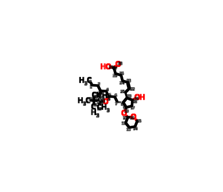 CCCCC[C@@H](CC[C@H]1C(OC2CCCCO2)C[C@H](O)[C@@H]1C/C=C\CCCC(=O)O)O[Si](C)(C)C(C)(C)C